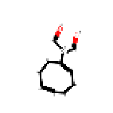 O=[CH][Co]([CH]=O)[C]1=CCCC=CCC1